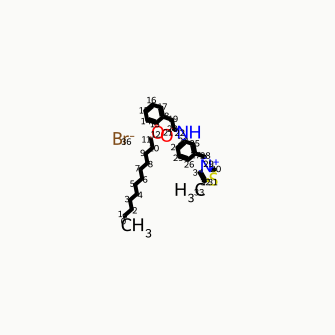 CCCCCCCCCCCCOc1ccccc1CC(=O)Nc1cccc(C[n+]2csc(C)c2)c1.[Br-]